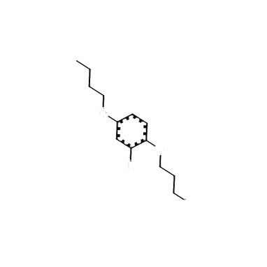 CCCCOc1ccc(OCCCF)c(F)c1